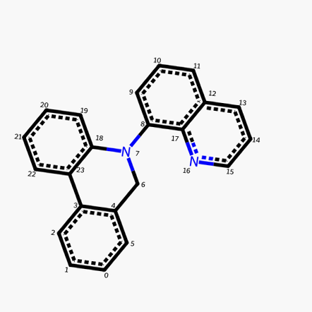 c1ccc2c(c1)CN(c1cccc3cccnc13)c1ccccc1-2